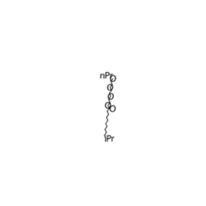 CCCOCCOCCOCCOC(=O)CCCCCCCCCC(C)C